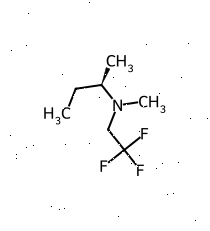 CC[C@@H](C)N(C)CC(F)(F)F